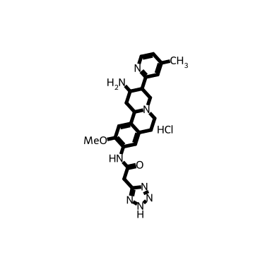 COc1cc2c(cc1NC(=O)Cc1nn[nH]n1)CCN1CC(c3cc(C)ccn3)C(N)CC21.Cl